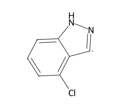 Clc1cccc2[nH]n[c]c12